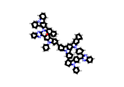 c1ccc(-n2c3ccccc3c3ccc(-c4nc5ccccc5nc4-c4ccc(-n5c6cc7ccccc7cc6c6cc7c8cc(-c9ccc%10c%11ccc(-c%12nc%13ccccc%13nc%12-n%12c%13cc%14ccccc%14cc%13c%13cc%14c%15ccccc%15n%15c%16ccccc%16c(c%13%12)c%14%15)cc%11n(-c%11ccccc%11)c%10c9)ccc8n8c9ccccc9c(c65)c78)cc4)cc32)cc1